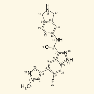 Cn1cc(-c2cc3c(C(=O)Nc4ccc5c(c4)CNC5)n[nH]c3cc2F)cn1